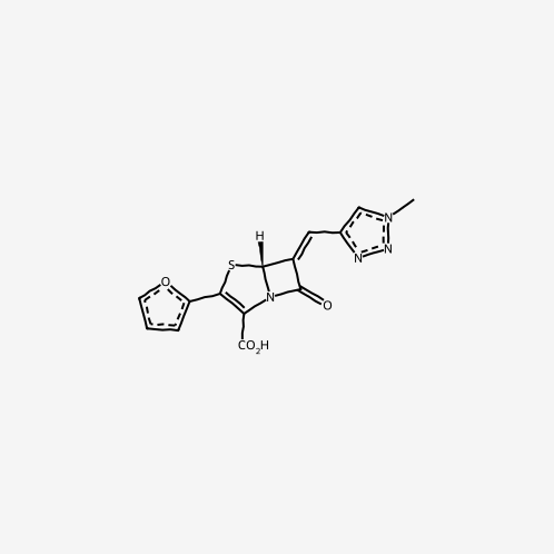 Cn1cc(C=C2C(=O)N3C(C(=O)O)=C(c4ccco4)S[C@H]23)nn1